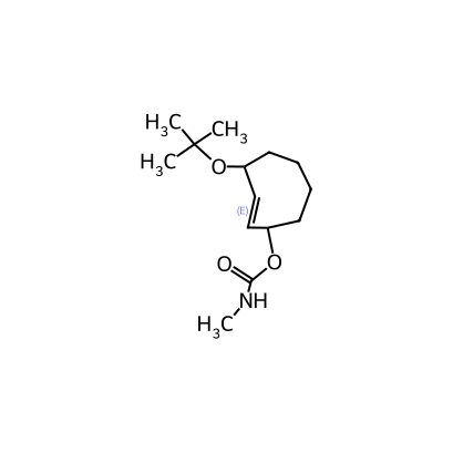 CNC(=O)OC1/C=C/C(OC(C)(C)C)CCCC1